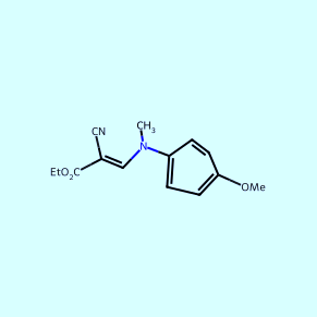 CCOC(=O)C(C#N)=CN(C)c1ccc(OC)cc1